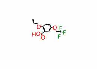 C=CCOc1ccc(OCC(F)(F)F)cc1C(=O)O